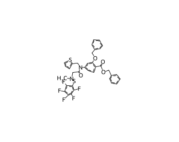 CN(CC(=O)N(Cc1cccs1)c1ccc(C(=O)OCc2ccccc2)c(OCc2ccccc2)c1)Sc1c(F)c(F)c(F)c(F)c1F